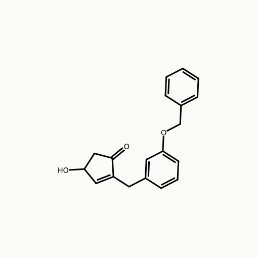 O=C1CC(O)C=C1Cc1cccc(OCc2ccccc2)c1